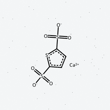 O=S(=O)([O-])c1ccc(S(=O)(=O)[O-])s1.[Ca+2]